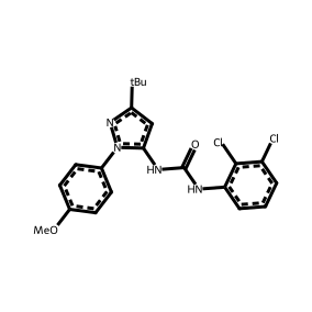 COc1ccc(-n2nc(C(C)(C)C)cc2NC(=O)Nc2cccc(Cl)c2Cl)cc1